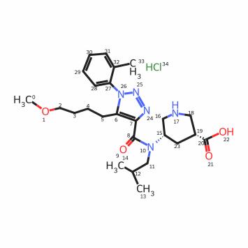 COCCCCc1c(C(=O)N(CC(C)C)[C@@H]2CNC[C@H](C(=O)O)C2)nnn1-c1ccccc1C.Cl